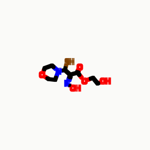 O=C(OCCO)C(=NO)C(S)N1CCOCC1